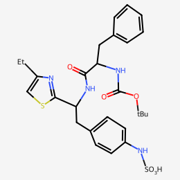 CCc1csc(C(Cc2ccc(NS(=O)(=O)O)cc2)NC(=O)C(Cc2ccccc2)NC(=O)OC(C)(C)C)n1